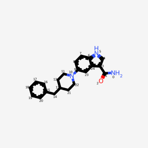 NC(=O)c1c[nH]c2ccc(N3CCC(Cc4ccccc4)CC3)cc12